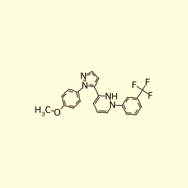 COc1ccc(-n2nccc2C2=CC=CN(c3cccc(C(F)(F)F)c3)N2)cc1